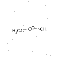 C=CC1CCC(CCC2CCC(OCCCCCC)CC2)CC1